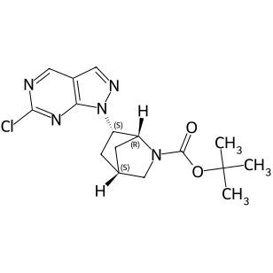 CC(C)(C)OC(=O)N1C[C@H]2C[C@@H]1[C@@H](n1ncc3cnc(Cl)nc31)C2